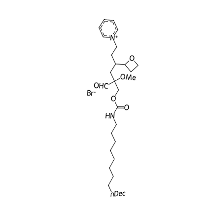 CCCCCCCCCCCCCCCCCCNC(=O)OCC(C=O)(CC(CC[n+]1ccccc1)C1CCO1)OC.[Br-]